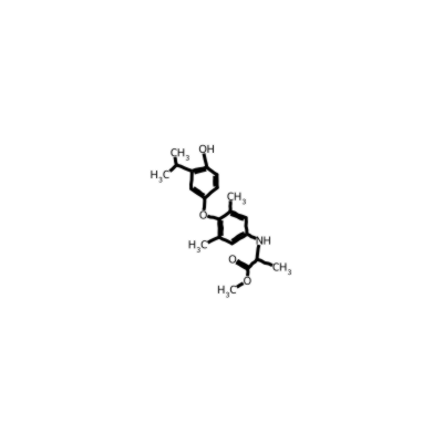 COC(=O)C(C)Nc1cc(C)c(Oc2ccc(O)c(C(C)C)c2)c(C)c1